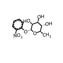 C[C@H]1O[C@H](Oc2ccccc2[N+](=O)[O-])[C@@H](O)[C@@H](O)[C@@H]1O